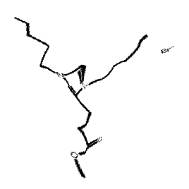 CCCCCn1cc(CCC(=O)OC)[n+](CCCCC)c1.[Br-]